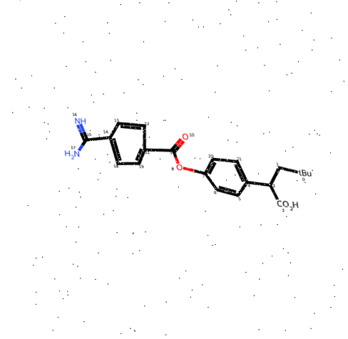 CC(C)(C)CC(C(=O)O)c1ccc(OC(=O)c2ccc(C(=N)N)cc2)cc1